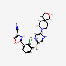 N#Cc1coc(-c2cccc(Sc3cnc(N4CCC5(CCOC5)CC4)cn3)c2Cl)n1